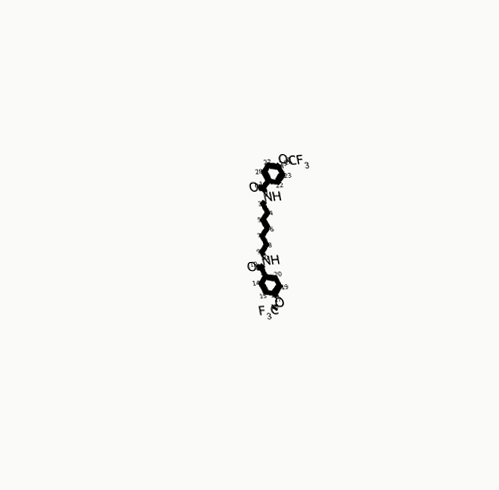 O=C(NCCC=CCCCNC(=O)c1ccc(OC(F)(F)F)cc1)c1ccc(OC(F)(F)F)cc1